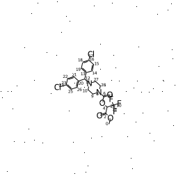 COC(=O)C(OC(=O)N1CCN(C(c2ccc(Cl)cc2)c2ccc(Cl)cc2)CC1)C(F)(F)F